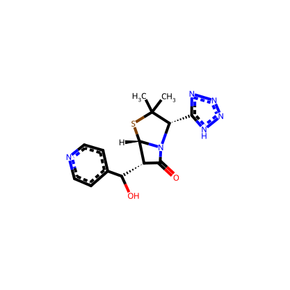 CC1(C)S[C@H]2[C@@H](C(O)c3ccncc3)C(=O)N2[C@H]1c1nnn[nH]1